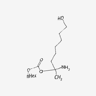 CCCCCCOC(=O)OC(C)(N)CCCCCCO